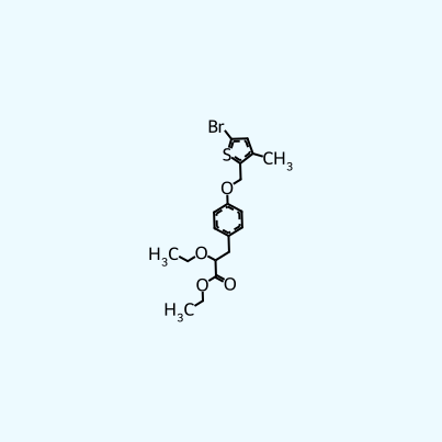 CCOC(=O)C(Cc1ccc(OCc2sc(Br)cc2C)cc1)OCC